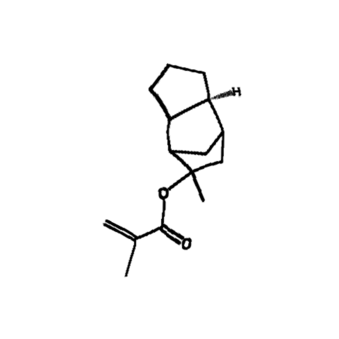 C=C(C)C(=O)OC1(C)CC2CC1C1CCC[C@@H]21